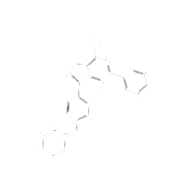 Oc1nc(-c2ccccn2)nc2c(-c3ccc(OC4CCCCC4)cc3)csc12